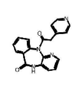 O=C1Nc2cccnc2N(C(=O)Cc2ccncc2)c2ccccc21